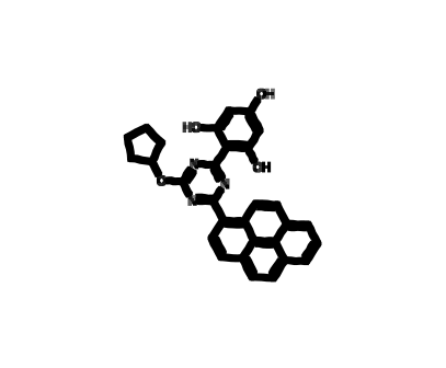 Oc1cc(O)c(-c2nc(OC3CCCC3)nc(-c3ccc4ccc5cccc6ccc3c4c56)n2)c(O)c1